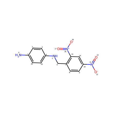 Nc1ccc(NCc2ccc([N+](=O)[O-])cc2[N+](=O)[O-])cc1